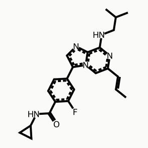 CC=Cc1cn2c(-c3ccc(C(=O)NC4CC4)c(F)c3)cnc2c(NCC(C)C)n1